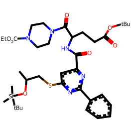 CCOC(=O)N1CCN(C(=O)C(CCC(=O)OC(C)(C)C)NC(=O)c2cc(SCC(C)O[Si](C)(C)C(C)(C)C)nc(-c3ccccc3)n2)CC1